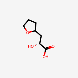 O=C(O)[C@H](O)CC1CCCO1